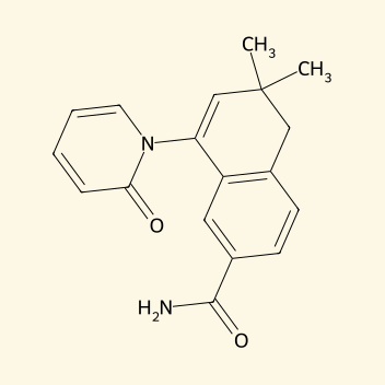 CC1(C)C=C(n2ccccc2=O)c2cc(C(N)=O)ccc2C1